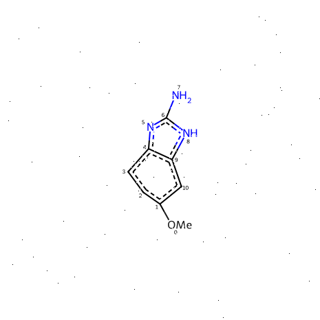 COc1ccc2nc(N)[nH]c2c1